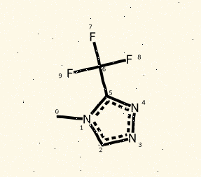 Cn1[c]nnc1C(F)(F)F